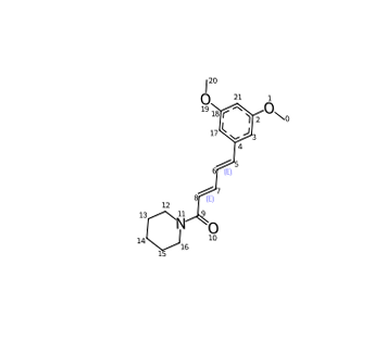 COc1cc(/C=C/C=C/C(=O)N2CCCCC2)cc(OC)c1